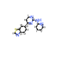 [c]1ccc(Nc2nccc(-c3ccc4ncsc4c3)n2)nc1